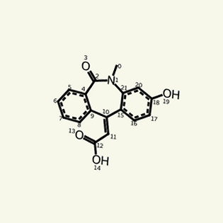 CN1C(=O)c2ccccc2/C(=C\C(=O)O)c2ccc(O)cc21